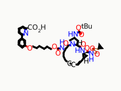 CC(C)(C)OC(=O)N[C@@H]1C[C@H]2C(=O)N[C@]3(C(=O)NS(=O)(=O)C4CC4)C[C@H]3/C=C\CCCCC[C@H](NC(=O)OCCCCCCOc3cccc(-c4cccc(C(=O)O)n4)c3)C(=O)N2C1